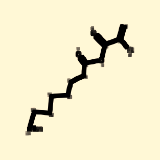 C=C(CC)C(=O)OC(=O)CCCCCCCCCCCCCCC